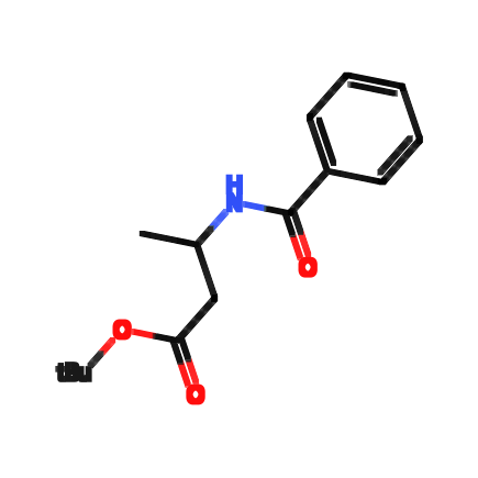 CC(CC(=O)OC(C)(C)C)NC(=O)c1ccccc1